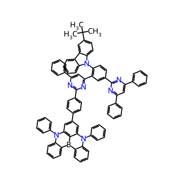 CC(C)(C)c1ccc2c(c1)c1ccccc1n2-c1ccc(-c2nc(-c3ccccc3)cc(-c3ccccc3)n2)cc1-c1cc(-c2ccccc2)nc(-c2ccc(-c3cc4c5c(c3)N(c3ccccc3)c3ccccc3B5c3ccccc3N4c3ccccc3)cc2)n1